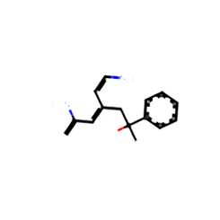 C=C(N)/C=C(\C=C/N)CC(C)(O)c1ccccc1